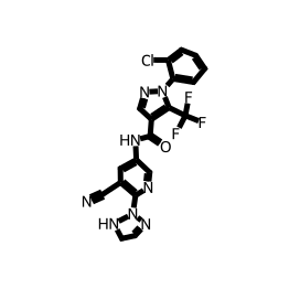 N#Cc1cc(NC(=O)c2cnn(-c3ccccc3Cl)c2C(F)(F)F)cnc1N1N=CCN1